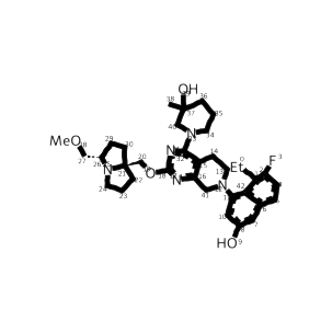 CCc1c(F)ccc2cc(O)cc(N3CCc4c(nc(OC[C@@]56CCCN5[C@H](COC)CC6)nc4N4CCCC(C)(O)C4)C3)c12